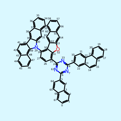 c1ccc2cc(-c3nc(-c4ccc5c(ccc6ccccc65)c4)nc(-c4ccc(-n5c6cc7ccccc7cc6c6ccc7ccccc7c65)c5c4oc4cc6ccccc6cc45)n3)ccc2c1